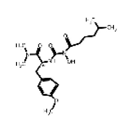 COc1ccc(C[C@H](NC(=O)N(O)C(=O)CCCC(C)C)C(=O)N(C)C)cc1